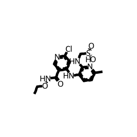 CCONC(=O)c1cnc(Cl)cc1Nc1ccc(C)nc1NC[SH](=O)=O